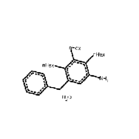 CCCCCCc1c(N)cc(Cc2ccccc2)c(CCCCCC)c1CCCCCC.O